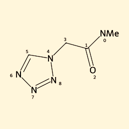 CNC(=O)Cn1cnnn1